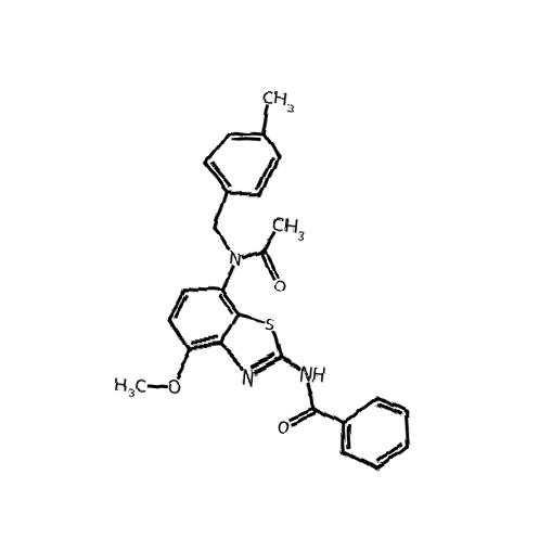 COc1ccc(N(Cc2ccc(C)cc2)C(C)=O)c2sc(NC(=O)c3ccccc3)nc12